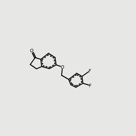 O=C1CCc2cc(OCc3ccc(F)c(F)c3)ccc21